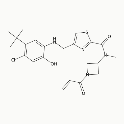 C=CC(=O)N1CC(N(C)C(=O)c2nc(CNc3cc(C(C)(C)C)c(Cl)cc3O)cs2)C1